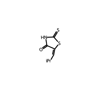 CC(C)/C=C1/SC(=S)NC1=O